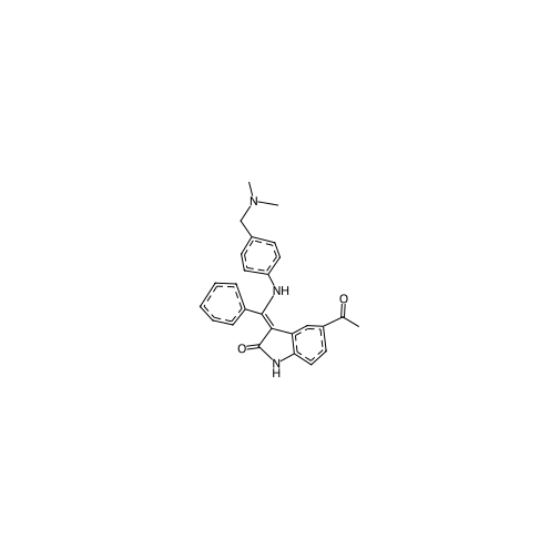 CC(=O)c1ccc2c(c1)C(=C(Nc1ccc(CN(C)C)cc1)c1ccccc1)C(=O)N2